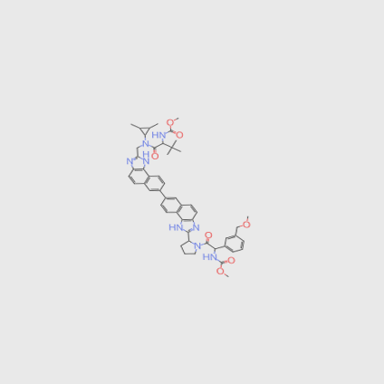 COCc1cccc(C(NC(=O)OC)C(=O)N2CCCC2c2nc3ccc4cc(-c5ccc6c(ccc7nc(CN(C(=O)C(NC(=O)OC)C(C)(C)C)C8C(C)C8C)[nH]c76)c5)ccc4c3[nH]2)c1